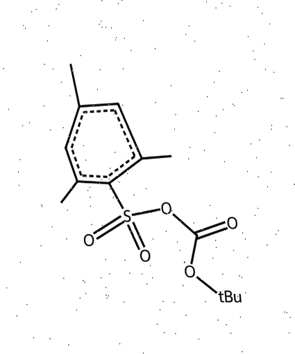 Cc1cc(C)c(S(=O)(=O)OC(=O)OC(C)(C)C)c(C)c1